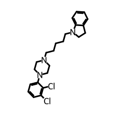 Clc1cccc(N2CCN(CCCCCN3CCc4ccccc43)CC2)c1Cl